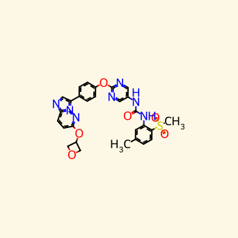 Cc1ccc(S(C)(=O)=O)c(NC(=O)Nc2cnc(Oc3ccc(-c4cnc5ccc(OC6COC6)nn45)cc3)nc2)c1